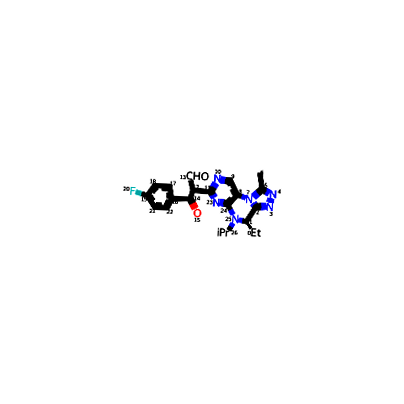 CC[C@@H]1c2nnc(C)n2-c2cnc(C(C=O)C(=O)c3ccc(F)cc3)nc2N1C(C)C